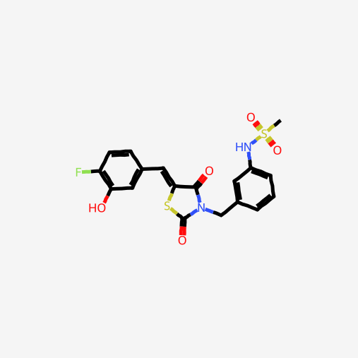 CS(=O)(=O)Nc1cccc(CN2C(=O)S/C(=C\c3ccc(F)c(O)c3)C2=O)c1